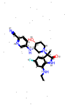 CCNc1cc(F)cc2c1NC(=O)C2(C)N1CC[C@@H](O)[C@@H](Nc2ccc(C#N)nc2)C1